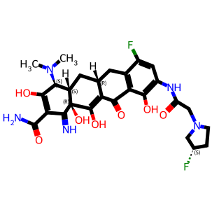 CN(C)[C@@H]1C(O)=C(C(N)=O)C(=N)[C@@]2(O)C(O)=C3C(=O)c4c(O)c(NC(=O)CN5CC[C@H](F)C5)cc(F)c4C[C@H]3C[C@@H]12